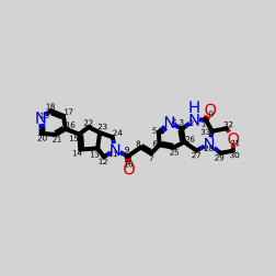 O=C1Nc2ncc(/C=C/C(=O)N3CC4C=C(c5ccncc5)CC4C3)cc2CN2CCOCC12